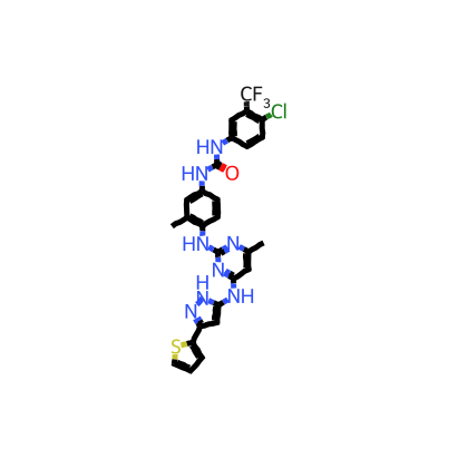 Cc1cc(Nc2cc(-c3cccs3)n[nH]2)nc(Nc2ccc(NC(=O)Nc3ccc(Cl)c(C(F)(F)F)c3)cc2C)n1